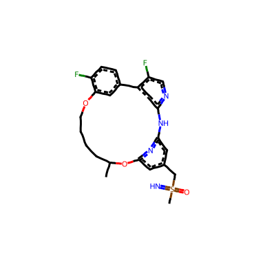 CC1CCCCOc2cc(ccc2F)-c2cc(ncc2F)Nc2cc(CS(C)(=N)=O)cc(n2)O1